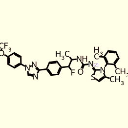 Cc1cccc(C)c1-n1c(C)cs/c1=N\C(=O)NC(C)C(F)c1ccc(-c2ncn(-c3ccc(OC(F)(F)F)cc3)n2)cc1